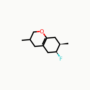 CC1COC2=C(C1)C[C@H](F)[C@H](C)C2